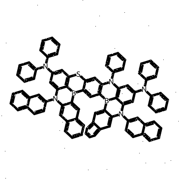 c1ccc(N(c2ccccc2)c2cc3c4c(c2)N(c2ccc5ccccc5c2)c2cc5ccccc5cc2B4c2cc4c(cc2S3)N(c2ccccc2)c2cc(N(c3ccccc3)c3ccccc3)cc3c2B4c2cc4ccccc4cc2N3c2ccc3ccccc3c2)cc1